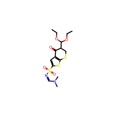 CCOC(OCC)C1CSc2sc(S(=O)(=O)/N=C\N(C)C)cc2C1=O